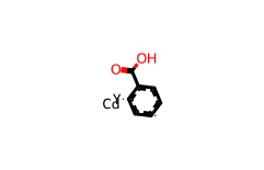 O=C(O)c1cc[c]cc1.[Cd].[Y]